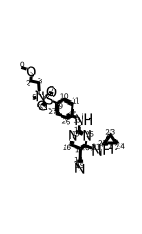 COCCN(C)S(=O)(=O)c1ccc(Nc2ncc(C#N)c(NC3CC3)n2)cc1